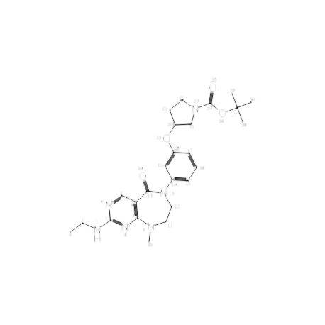 CCNc1ncc2c(n1)N(C)CCN(c1cccc(OC3CCN(C(=O)OC(C)(C)C)C3)c1)C2=O